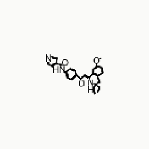 CCC1(CC)Cc2ccc(OC)cc2C(=CC(=O)c2ccc(NC(=O)c3ccncc3)cc2)N1